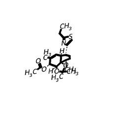 CCc1nc([C@@H]2CC[C@@H](C)[C@]34OC(C)(C)O[C@H]3[C@H](OC(C)=O)C(C)=C[C@@H]24)cs1